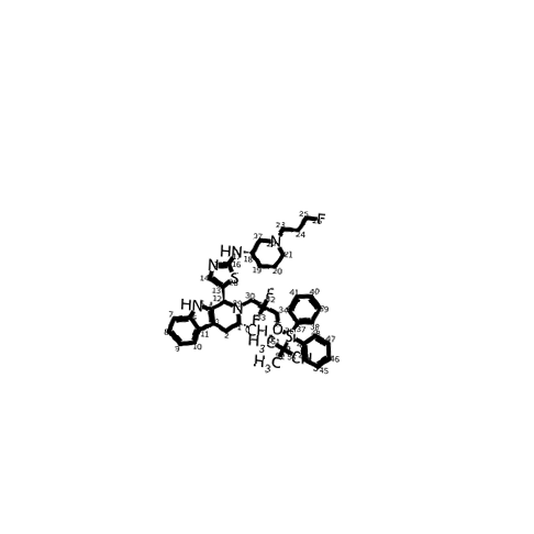 C[C@@H]1Cc2c([nH]c3ccccc23)[C@@H](c2cnc(N[C@H]3CCCN(CCCF)C3)s2)N1CC(F)(F)CO[Si](c1ccccc1)(c1ccccc1)C(C)(C)C